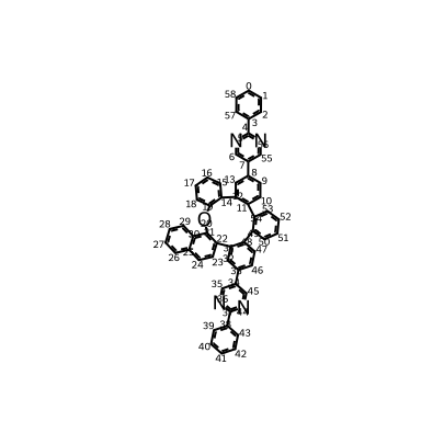 c1ccc(-c2ncc(-c3ccc4c(c3)-c3ccccc3Oc3c(ccc5ccccc35)-c3cc(-c5cnc(-c6ccccc6)nc5)ccc3-c3ccccc3-4)cn2)cc1